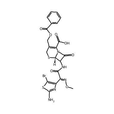 CON=C(C(=O)NC1C(=O)N2C(C(=O)O)=C(COC(=O)c3ccccc3)CS[C@@H]12)c1nc(N)sc1Br